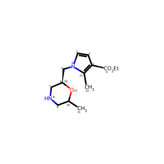 CCOC(=O)c1ccn(C[C@@H]2CNCC(C)O2)c1C